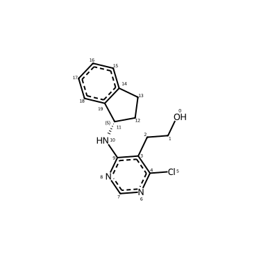 OCCc1c(Cl)ncnc1N[C@H]1CCc2ccccc21